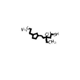 CCCC1CCC(CCC(C)(CC)CCS)C1